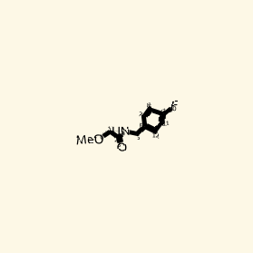 COCC(=O)NCc1ccc(F)cc1